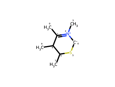 CC1=[N+](C)[CH-]SC(C)C1C